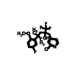 COc1ccc(F)cc1C(C)(C)CC(O)(Cc1ccnc(Cl)c1)C(F)(F)F